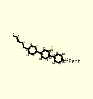 C/C=C/CCc1ccc(-c2ccc(-c3ccc(CCCCC)cc3)c(F)c2)cc1